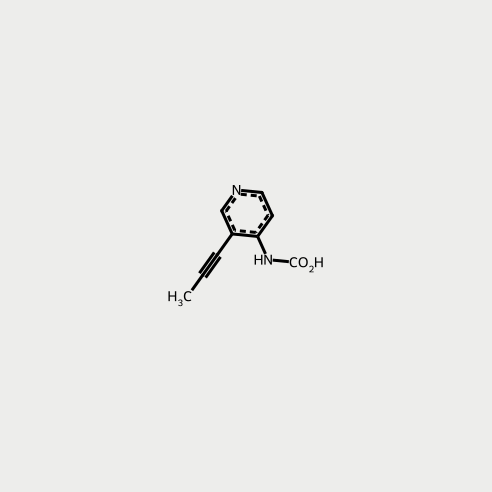 CC#Cc1cnccc1NC(=O)O